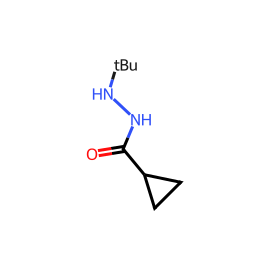 CC(C)(C)NNC(=O)C1CC1